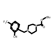 CC(C)(C)OC(=O)N1CCN(Cc2ccc(C(F)(F)F)cc2C#N)CC1